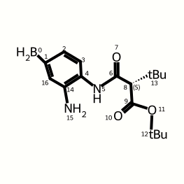 Bc1ccc(NC(=O)[C@@H](C(=O)OC(C)(C)C)C(C)(C)C)c(N)c1